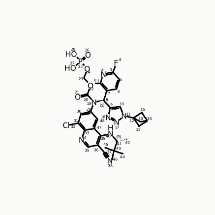 Cc1nc(F)ccc1[C@@H](c1cn(C23CC(C2)C3)nn1)N(C(=O)OCOP(=O)(O)O)c1cc(Cl)c2ncc(C#N)c(N[C@H](C)C(C)(C)C)c2c1